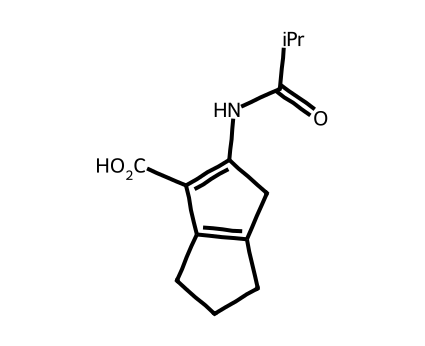 CC(C)C(=O)NC1=C(C(=O)O)C2=C(CCC2)C1